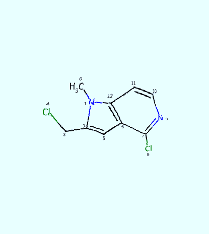 Cn1c(CCl)cc2c(Cl)nccc21